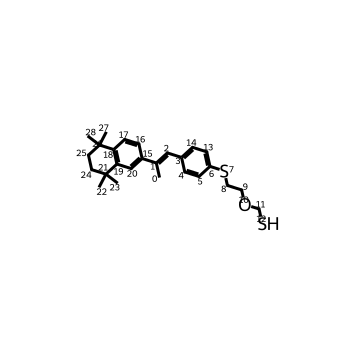 CC(=Cc1ccc(SCCOCS)cc1)c1ccc2c(c1)C(C)(C)CCC2(C)C